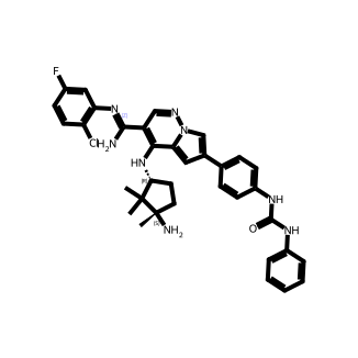 CC1(C)[C@H](Nc2c(/C(N)=N/c3cc(F)ccc3Cl)cnn3cc(-c4ccc(NC(=O)Nc5ccccc5)cc4)cc23)CC[C@]1(C)N